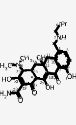 CC(C)CNCc1ccc(O)c2c1CC1(C)CC3C(C(=O)C(C(N)=O)=C(O)C3N(C)C)C(O)=C1C2=O